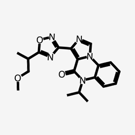 COCC(C)c1nc(-c2ncn3c2c(=O)n(C(C)C)c2ccccc23)no1